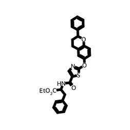 CCOC(=O)C(Cc1ccccc1)NC(=O)c1cnc(Oc2ccc3c(c2)CCC(c2ccccc2)O3)s1